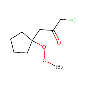 CC(C)(C)OOC1(CC(=O)CCl)CCCC1